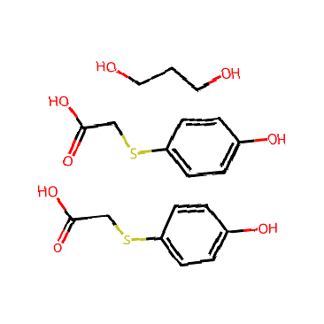 O=C(O)CSc1ccc(O)cc1.O=C(O)CSc1ccc(O)cc1.OCCCO